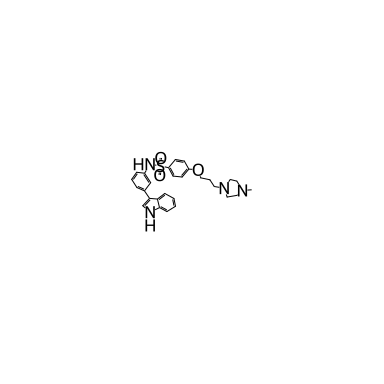 CN1CCN(CCCOc2ccc(S(=O)(=O)Nc3cccc(-c4c[nH]c5ccccc45)c3)cc2)CC1